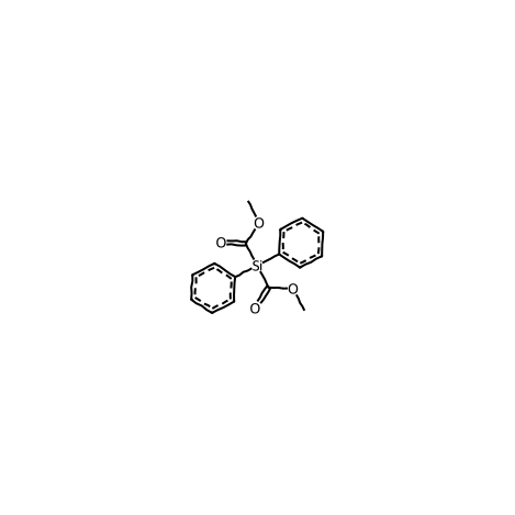 COC(=O)[Si](C(=O)OC)(c1ccccc1)c1ccccc1